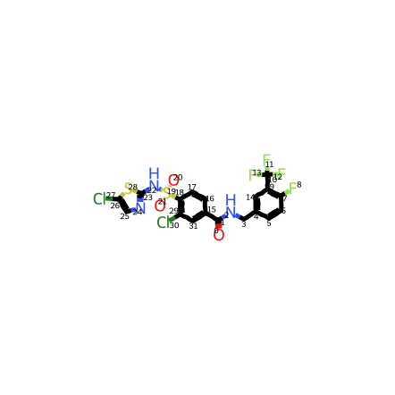 O=C(NCc1ccc(F)c(C(F)(F)F)c1)c1ccc(S(=O)(=O)Nc2ncc(Cl)s2)c(Cl)c1